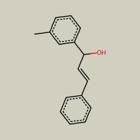 Cc1cccc(C(O)C=Cc2ccccc2)c1